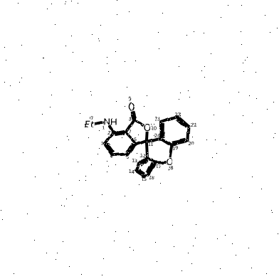 CCNc1cccc2c1C(=O)OC21c2ccccc2Oc2ccccc21